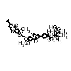 COc1cc2c(cc1OCCCOc1cc3c(cc1OC)C(=O)N1C=C(C4CC4)CC1C=N3)N=CC1CC(c3ccc(NC(=O)[C@H](C)NC(=O)[C@@H](NC(=O)O)C(C)C)cc3)=CN1C2=O